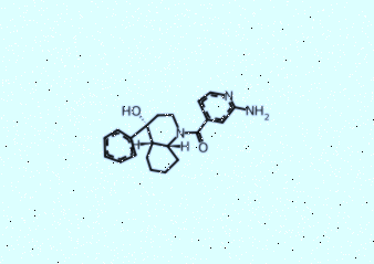 Nc1cc(C(=O)N2CC[C@](O)(c3ccccc3)[C@H]3CCCC[C@H]32)ccn1